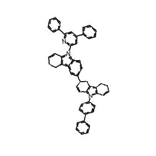 C1=Cc2c(c3c(n2-c2ccc(-c4ccccc4)cc2)C=CC(c2ccc4c(c2)c2c(n4-c4cc(-c5ccccc5)cc(-c5ccccc5)n4)C=CCC2)C3)CC1